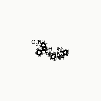 CN(C)c1nc(N[C@H]2CC[C@@H](CNCc3[nH]c4ccc([N+](=O)[O-])cc4c3-c3ccccc3)CC2)nc2ccccc12